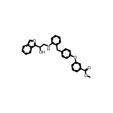 COC(=O)c1cccc(Oc2ccc(Cc3ccccc3NCC(O)c3occ4ccccc34)cc2)c1